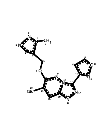 Cn1nncc1COc1nn2c(-c3ccon3)nnc2cc1C(C)(C)C